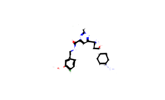 COc1cc(CNC(=O)c2cc(C3=NOC([C@H]4CC[C@H](N)CC4)C3)nc(C)n2)ccc1F.Cl